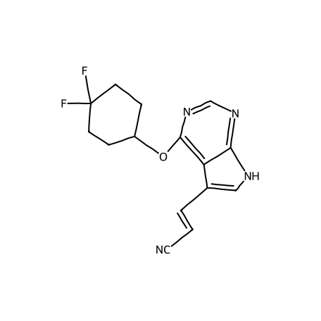 N#CC=Cc1c[nH]c2ncnc(OC3CCC(F)(F)CC3)c12